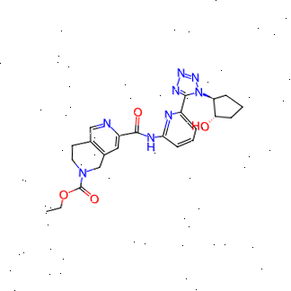 CCOC(=O)N1CCc2cnc(C(=O)Nc3cccc(-c4nnnn4[C@H]4CCC[C@@H]4O)n3)cc2C1